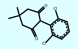 CC1(C)CC(=O)C(c2c(Cl)cccc2Cl)C(=O)C1